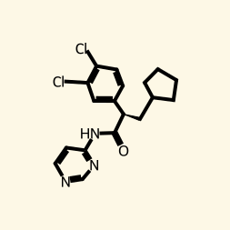 O=C(Nc1ccncn1)[C@H](CC1CCCC1)c1ccc(Cl)c(Cl)c1